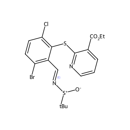 CCOC(=O)c1cccnc1Sc1c(Cl)ccc(Br)c1/C=N/[S+]([O-])C(C)(C)C